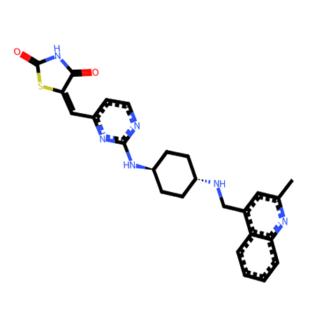 Cc1cc(CN[C@H]2CC[C@H](Nc3nccc(C=C4SC(=O)NC4=O)n3)CC2)c2ccccc2n1